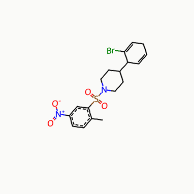 Cc1ccc([N+](=O)[O-])cc1S(=O)(=O)N1CCC(C2C=CCC=C2Br)CC1